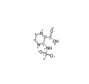 CS(=O)(=O)Nc1nccnc1C(=O)O